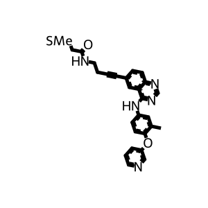 CSCC(=O)NCCC#Cc1ccc2ncnc(Nc3ccc(Oc4cccnc4)c(C)c3)c2c1